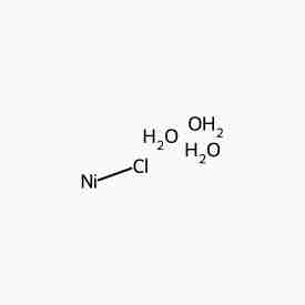 O.O.O.[Cl][Ni]